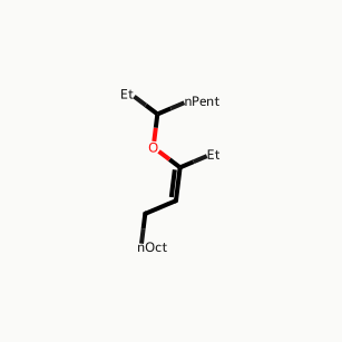 CCCCCCCCCC=C(CC)OC(CC)CCCCC